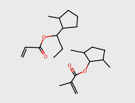 C=C(C)C(=O)OC1C(C)CCC1C.C=CC(=O)OC(CC)C1CCCC1C